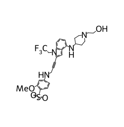 COc1cc(NCC#Cc2cc3c(NC4CCN(CCO)CC4)cccc3n2CC(F)(F)F)ccc1S(C)(=O)=O